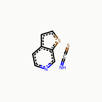 N=C=S.c1cc2ccsc2cn1